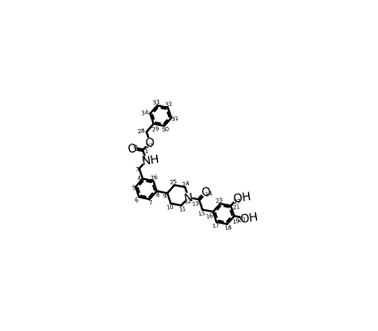 O=C(NCc1cccc(C2CCN(C(=O)Cc3ccc(O)c(O)c3)CC2)c1)OCc1ccccc1